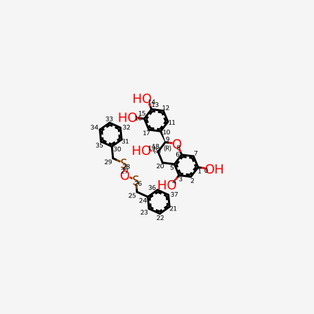 Oc1cc(O)c2c(c1)O[C@H](c1ccc(O)c(O)c1)[C@@H](O)C2.c1ccc(CSOSCc2ccccc2)cc1